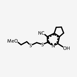 COCCSCSc1nc(O)c2c(c1C#N)CCC2